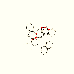 CC(C)(C)c1ccc(N(c2ccccc2-c2cccc3cccc(C4CCCCC4)c23)c2ccccc2-c2cccc3oc4ccccc4c23)c(-c2ccccc2)c1